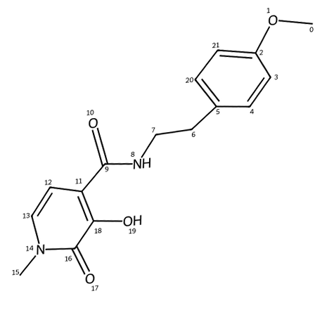 COc1ccc(CCNC(=O)c2ccn(C)c(=O)c2O)cc1